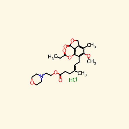 CCC(=O)Oc1c(C/C=C(\C)CCC(=O)OCCN2CCOCC2)c(OC)c(C)c2c1C(=O)OC2.Cl